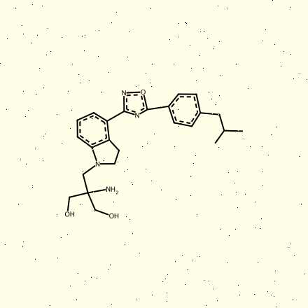 CC(C)Cc1ccc(-c2nc(-c3cccc4c3CCN4CC(N)(CO)CO)no2)cc1